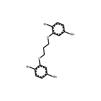 CC(C)(C)c1ccc(Br)c(OCCCOc2cc(C(C)(C)C)ccc2Br)c1